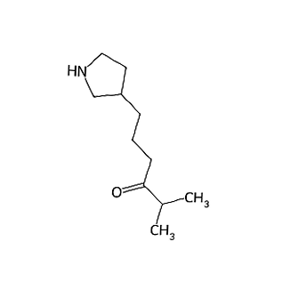 CC(C)C(=O)CCCC1CCNC1